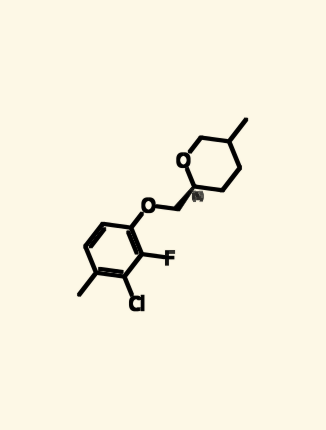 Cc1ccc(OC[C@@H]2CCC(C)CO2)c(F)c1Cl